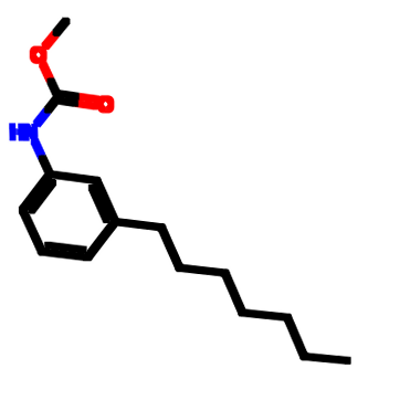 CCCCCCCc1cccc(NC(=O)OC)c1